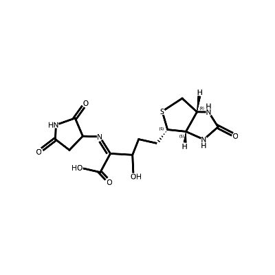 O=C1CC(N=C(C(=O)O)C(O)CC[C@@H]2SC[C@@H]3NC(=O)N[C@@H]32)C(=O)N1